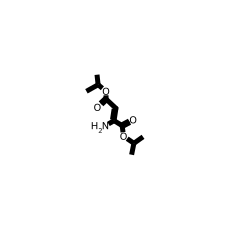 CC(C)OC(=O)C=C(N)C(=O)OC(C)C